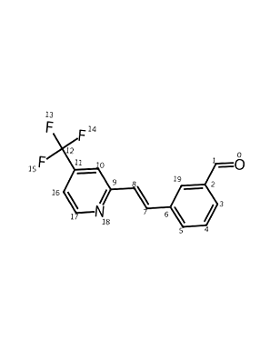 O=Cc1cccc(C=Cc2cc(C(F)(F)F)ccn2)c1